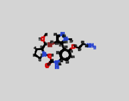 COCC1CCCN1OC(=O)Nc1ccc(OCCN)c(-c2c(Br)cnn2C)c1